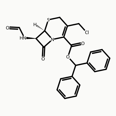 O=CN[C@@H]1C(=O)N2C(C(=O)OC(c3ccccc3)c3ccccc3)=C(CCl)CS[C@H]12